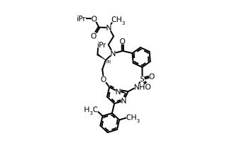 Cc1cccc(C)c1-c1cc2nc(n1)NS(=O)(=O)c1cccc(c1)C(=O)N(CCN(C)C(=O)OC(C)C)[C@H](CC(C)C)CO2